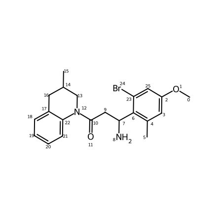 COc1cc(C)c(C(N)CC(=O)N2CC(C)Cc3ccccc32)c(Br)c1